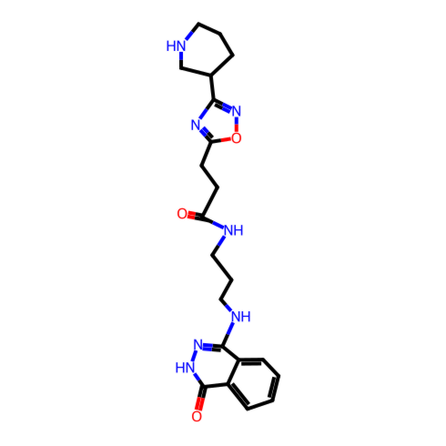 O=C(CCc1nc(C2CCCNC2)no1)NCCCNc1n[nH]c(=O)c2ccccc12